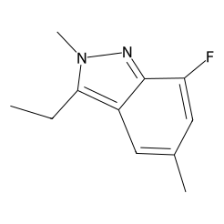 CCc1c2cc(C)cc(F)c2nn1C